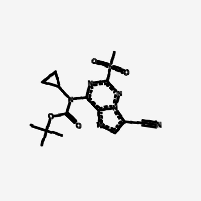 CC(C)(C)OC(=O)N(c1nc(S(C)(=O)=O)nn2c(C#N)cnc12)C1CC1